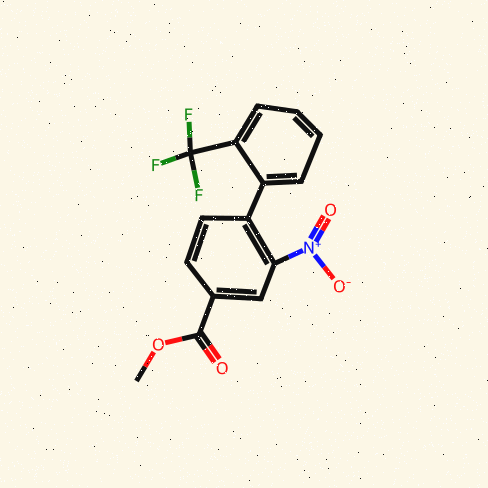 COC(=O)c1ccc(-c2ccccc2C(F)(F)F)c([N+](=O)[O-])c1